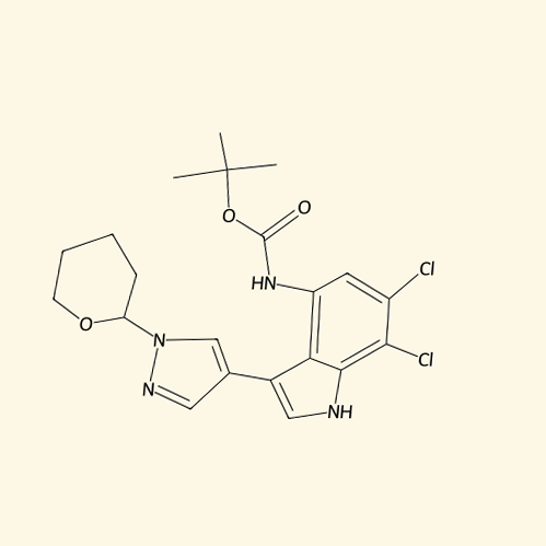 CC(C)(C)OC(=O)Nc1cc(Cl)c(Cl)c2[nH]cc(-c3cnn(C4CCCCO4)c3)c12